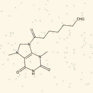 C=C(CCCCCC=O)N1CN(C)c2c1n(C)c(=O)[nH]c2=O